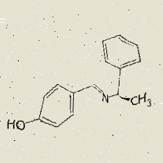 C[C@@H](/N=C/c1ccc(O)cc1)c1ccccc1